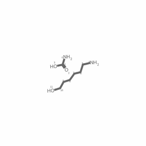 NC(=O)O.NCCCCCCO